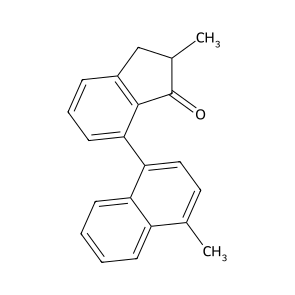 Cc1ccc(-c2cccc3c2C(=O)C(C)C3)c2ccccc12